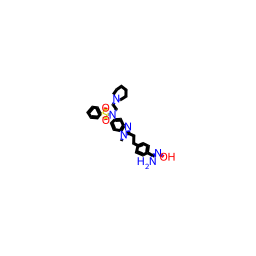 Cn1c(CCc2ccc(C(N)=NO)cc2)nc2cc(N(CCN3CCCCCC3)S(=O)(=O)c3ccccc3)ccc21